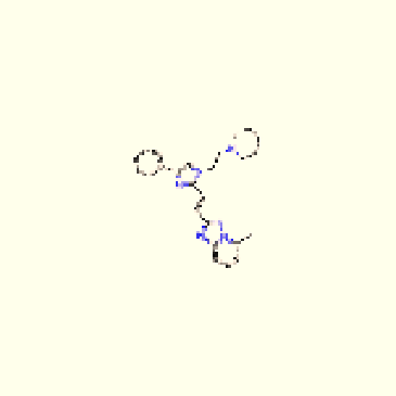 Cc1cccc2nc(C=Cc3nc(-c4ccccc4)cn3CCN3CCCCC3)nn12